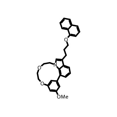 COc1cc2cc(c1)-c1cccc3c(CCCOc4cccc5ccccc45)cn(c13)CCOCCO2